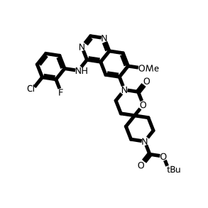 COc1cc2ncnc(Nc3cccc(Cl)c3F)c2cc1N1CCC2(CCN(C(=O)OC(C)(C)C)CC2)OC1=O